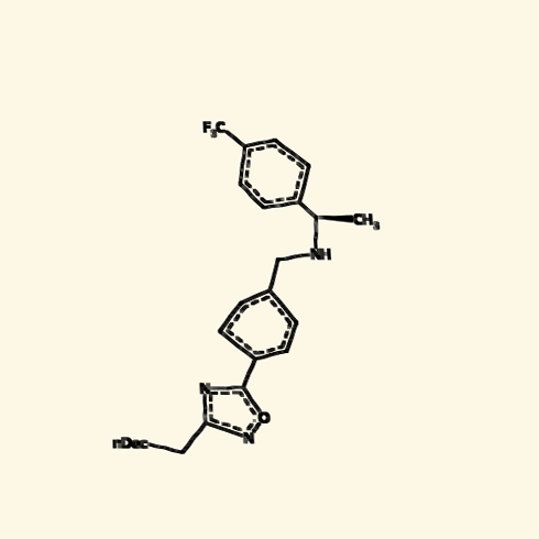 CCCCCCCCCCCc1noc(-c2ccc(CN[C@H](C)c3ccc(C(F)(F)F)cc3)cc2)n1